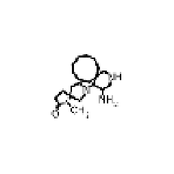 CN1C(=O)CCC12CCN(C1C(N)CNCC13CCCCCCCC3)CC2